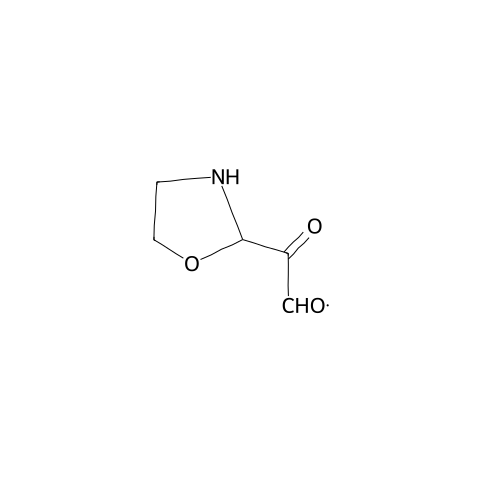 O=[C]C(=O)C1NCCO1